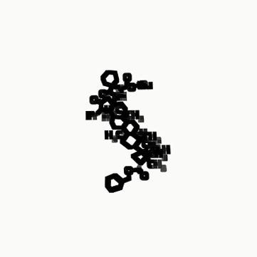 CC(C)C1=C2[C@H]3CCC4[C@]5(C)CC[C@H]([C@@]6(C(=O)O)C[C@@H](C(=O)OCc7ccccc7)C6(C)C)C(C)(C)[C@H]5CC[C@@]4(C)[C@]3(C)CC[C@@]2(NC(=O)C2(NC(=O)OC(C)(C)C)CCCCC2)CC1=O